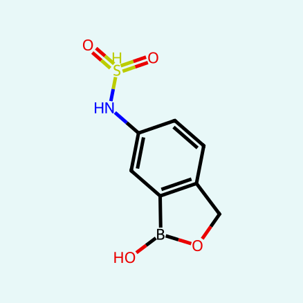 O=[SH](=O)Nc1ccc2c(c1)B(O)OC2